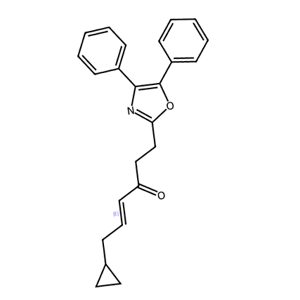 O=C(/C=C/CC1CC1)CCc1nc(-c2ccccc2)c(-c2ccccc2)o1